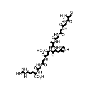 CC(NC(=O)CNC(=O)CNC(=O)CNC(=O)C(N)CS)C(=O)NC(Cc1c[nH]cn1)C(=O)NC(CC(=O)NCC(=O)NCC(=O)NC(CCCNC(=N)N)C(=O)O)C(=O)O